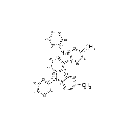 Cc1ccc2c(c1)c1c3c4ccc(C)cc4n(-c4ccccc4)c3ccc1n2-c1ccccc1